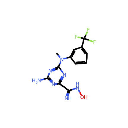 CN(c1cccc(C(F)(F)F)c1)c1nc(N)nc(C(=N)NO)n1